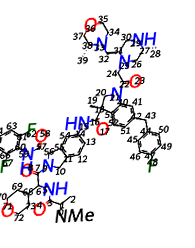 CNC(C)C(=O)NC(C(=O)N1Cc2ccc(NC(=O)[C@]3(C)CN(C(=O)CN4C[C@@H](C)NC[C@@H]4CN4CCOC[C@H]4C)c4cc(Cc5ccc(F)cc5)ccc43)cc2[C@H]1C(=O)Nc1c(F)cccc1F)C1CCOCC1